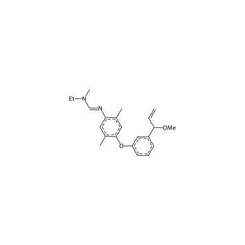 C=CC(OC)c1cccc(Oc2cc(C)c(N=CN(C)CC)cc2C)c1